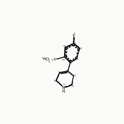 Cl.Fc1ccc(C2=CCNCC2)c(F)c1